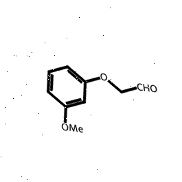 COc1cccc(OCC=O)c1